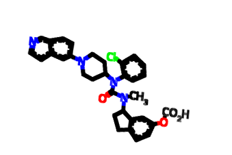 CN(C(=O)N(c1ccccc1Cl)C1CCN(c2ccc3cnccc3c2)CC1)C1CCc2ccc(OC(=O)O)cc21